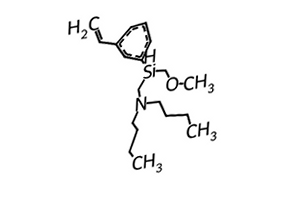 C=Cc1cccc([SiH](COC)CN(CCCC)CCCC)c1